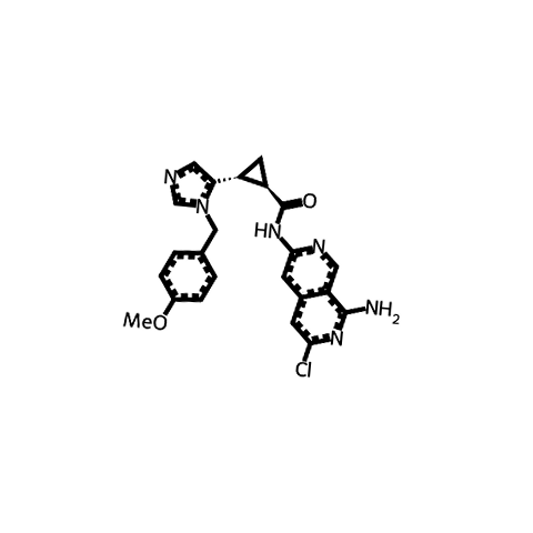 COc1ccc(Cn2cncc2[C@@H]2C[C@H]2C(=O)Nc2cc3cc(Cl)nc(N)c3cn2)cc1